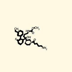 CCc1cccc(-c2c(F)cccc2[C@](O)(CCCNC(=O)OC)[C@@H]2CCCN(C(=O)CCCCN)C2)c1